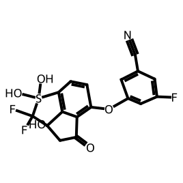 N#Cc1cc(F)cc(Oc2ccc3c4c2C(=O)CC4(O)C(F)(F)S3(O)O)c1